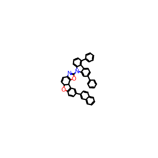 C1=CC2Oc3ccc(-c4ccc5ccccc5c4)cc3C2c2oc(-n3c4cc(-c5ccccc5)ccc4c4c(-c5ccccc5)cccc43)nc21